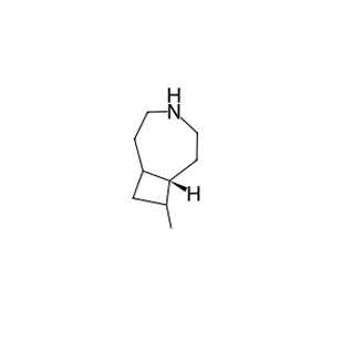 CC1CC2CCNCC[C@H]12